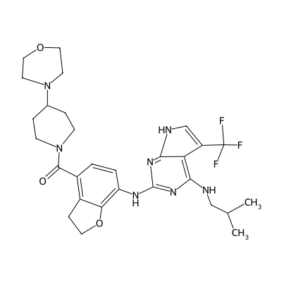 CC(C)CNc1nc(Nc2ccc(C(=O)N3CCC(N4CCOCC4)CC3)c3c2OCC3)nc2[nH]cc(C(F)(F)F)c12